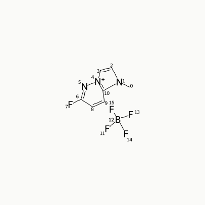 Cn1cc[n+]2nc(F)ccc12.F[B-](F)(F)F